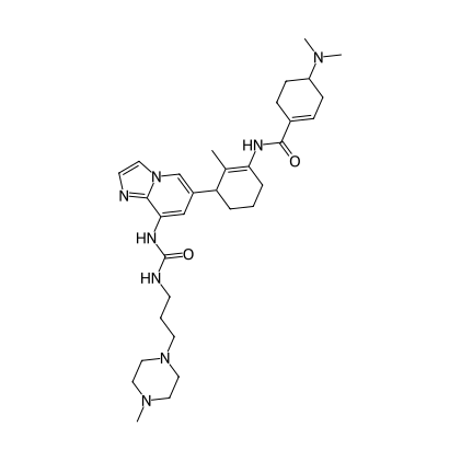 CC1=C(NC(=O)C2=CCC(N(C)C)CC2)CCCC1c1cc(NC(=O)NCCCN2CCN(C)CC2)c2nccn2c1